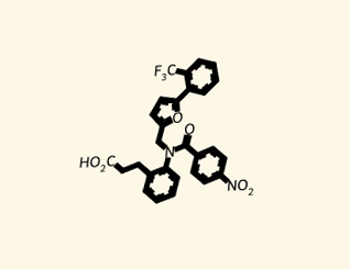 O=C(O)CCc1ccccc1N(Cc1ccc(-c2ccccc2C(F)(F)F)o1)C(=O)c1ccc([N+](=O)[O-])cc1